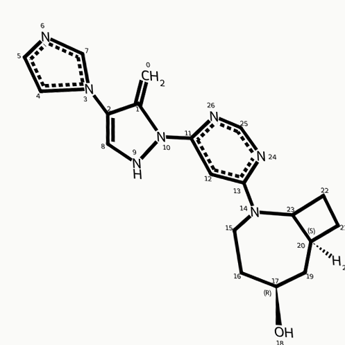 C=C1C(n2ccnc2)=CNN1c1cc(N2CC[C@H](O)C[C@@H]3CCC32)ncn1